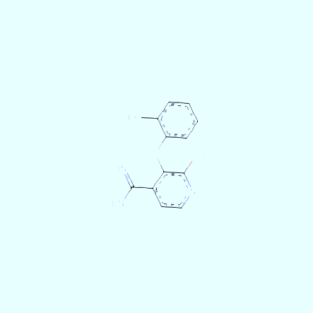 Cc1ccccc1Sc1c(C(=N)N)ccnc1O